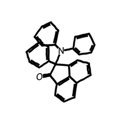 O=C1c2cccc3cccc(c23)C1(c1ccccc1)N(c1ccccc1)c1ccccc1